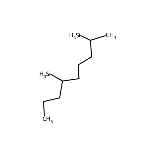 CCCC([SiH3])CCCC(C)[SiH3]